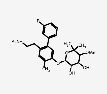 COC1[C@@H](O)[C@@H](O)[C@@H](Oc2cc(-c3cccc(F)c3)c(CCNC(C)=O)cc2C)OC1(C)C